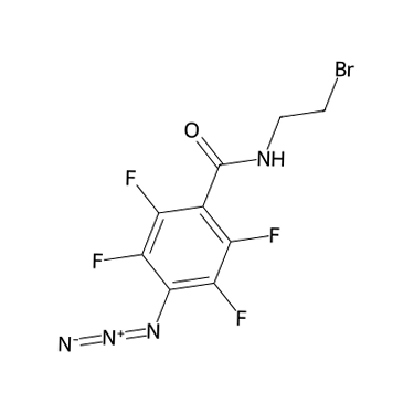 [N-]=[N+]=Nc1c(F)c(F)c(C(=O)NCCBr)c(F)c1F